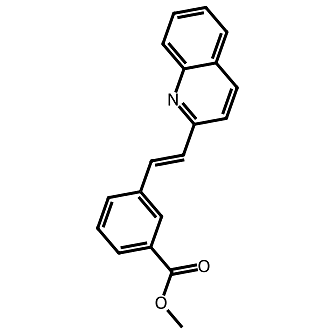 COC(=O)c1cccc(C=Cc2ccc3ccccc3n2)c1